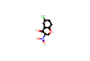 O=c1c([N+](=O)[O-])coc2ccc(Cl)cc12